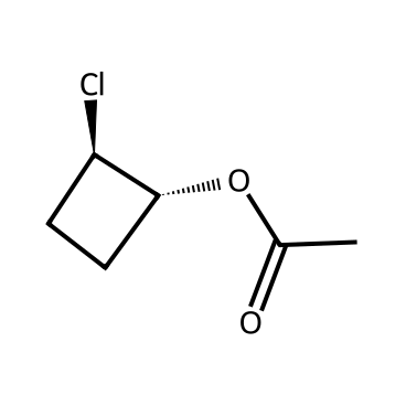 CC(=O)O[C@@H]1CC[C@H]1Cl